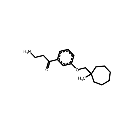 CC1(COc2cccc(C(=O)CCN)c2)CCCCCC1